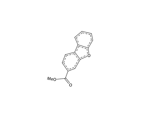 COC(=O)c1ccc2c(c1)oc1ccccc12